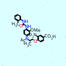 COc1cc(N(C(C)=O)[C@@H](C)COc2ccc(C(=O)O)cc2[N+](=O)[O-])ccc1NC(=O)Nc1ccccc1C